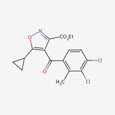 CCOC(=O)c1noc(C2CC2)c1C(=O)c1ccc(Cl)c(Cl)c1C